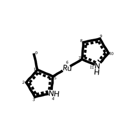 Cc1cc[nH][c]1[Ru][c]1ccc[nH]1